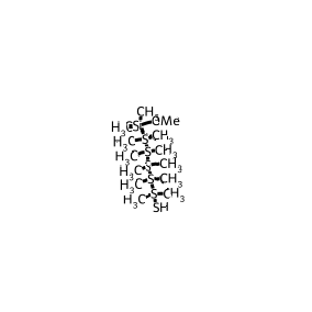 CO[Si](C)(C)S(C)(C)S(C)(C)S(C)(C)S(C)(C)S(C)(C)S